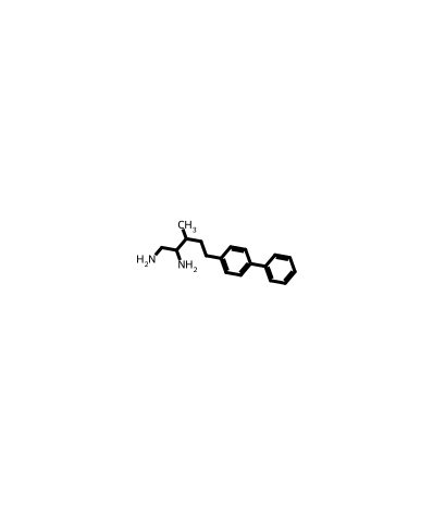 CC(CCc1ccc(-c2ccccc2)cc1)C(N)CN